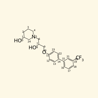 OC1CCCN(CC(O)COc2ccc(-c3cccc(C(F)(F)F)c3)cc2)C1